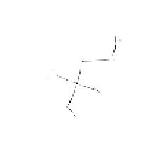 CC(C)(CO)COBr